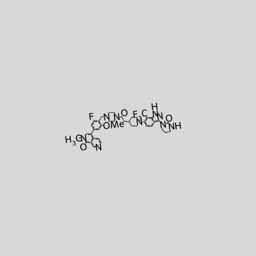 COc1cc(-c2cn(C)c(=O)c3cnccc23)cc(F)c1CN1CCN(C(=O)CC2CCN(c3ccc4c(N5CCCNC5=O)n[nH]c4c3C(F)(F)F)CC2)CC1